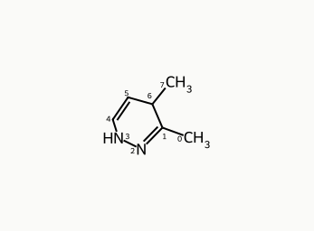 CC1=NNC=CC1C